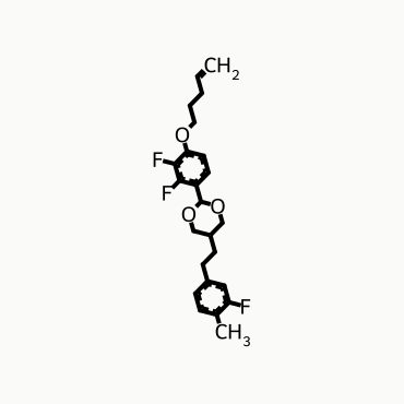 C=CCCCOc1ccc(C2OCC(CCc3ccc(C)c(F)c3)CO2)c(F)c1F